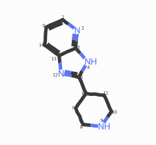 c1cnc2[nH]c(C3CCNCC3)nc2c1